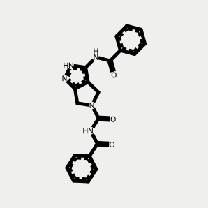 O=C(NC(=O)N1Cc2n[nH]c(NC(=O)c3ccccc3)c2C1)c1ccccc1